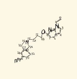 C=Cn1ccc2ccc(OCCCCN3CCc4cc(CCC)ccc4C3)nc21